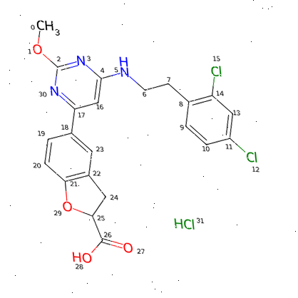 COc1nc(NCCc2ccc(Cl)cc2Cl)cc(-c2ccc3c(c2)CC(C(=O)O)O3)n1.Cl